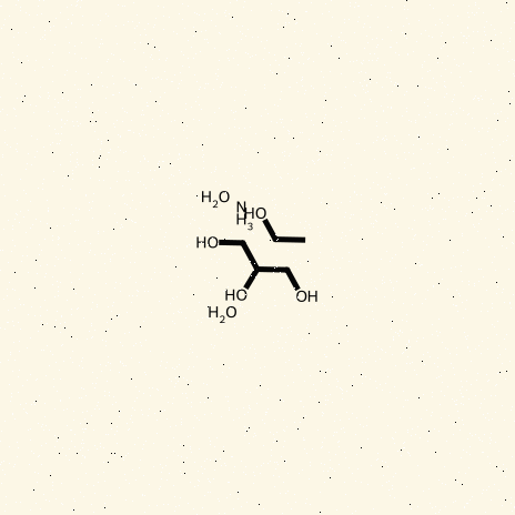 CCO.N.O.O.OCC(O)CO